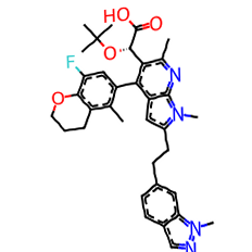 Cc1nc2c(cc(CCc3ccc4cnn(C)c4c3)n2C)c(-c2cc(F)c3c(c2C)CCCO3)c1[C@H](OC(C)(C)C)C(=O)O